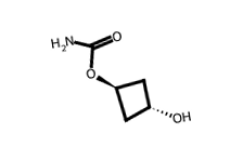 NC(=O)O[C@H]1C[C@H](O)C1